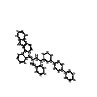 C1=CC2c3c(ccc4c3oc3ccccc34)N(C3Nc4ccccc4C(C4=CC(c5ccc(-c6ccccc6)cc5)=CCC4)N3)C2C=C1